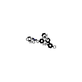 O/C(=C\N1CCOCC1)COc1ccc([C@H]2c3[nH]c4ccc(Cl)cc4c3CCN2c2ncccn2)cc1